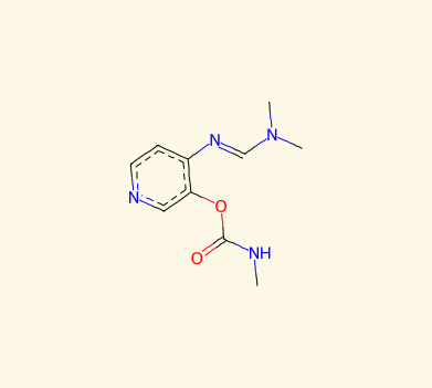 CNC(=O)Oc1cnccc1/N=C/N(C)C